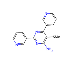 CSc1c(N)nc(-c2cccnc2)nc1-c1cccnc1